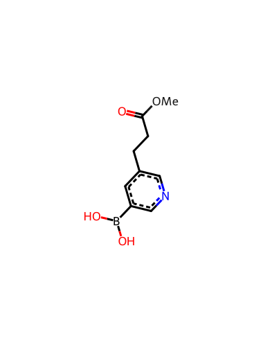 COC(=O)CCc1cncc(B(O)O)c1